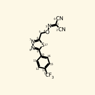 N#CC(C#N)=NOCc1nnc(-c2ccc(C(F)(F)F)cc2)s1